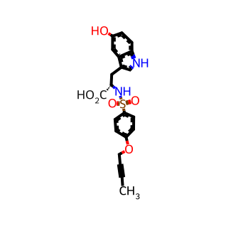 CC#CCOc1ccc(S(=O)(=O)N[C@@H](Cc2c[nH]c3ccc(O)cc23)C(=O)O)cc1